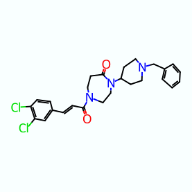 O=C(C=Cc1ccc(Cl)c(Cl)c1)N1CCC(=O)N(C2CCN(Cc3ccccc3)CC2)CC1